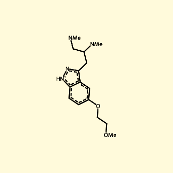 CNCC(Cc1n[nH]c2ccc(OCCOC)cc12)NC